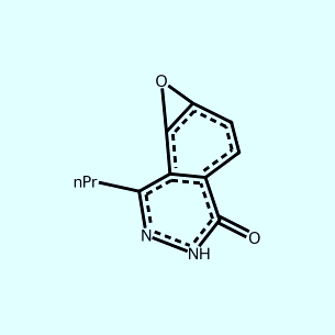 CCCc1n[nH]c(=O)c2ccc3c(c12)O3